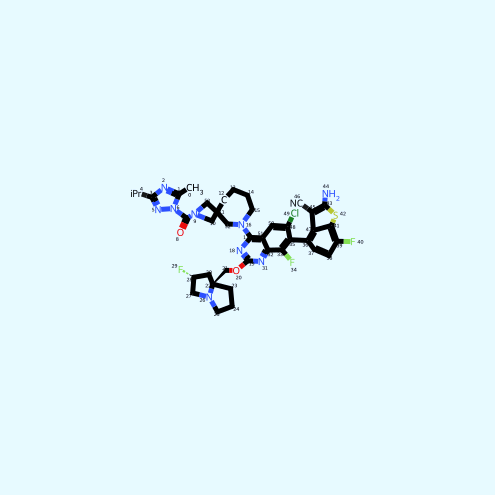 Cc1nc(C(C)C)nn1C(=O)N1CC2(CCCCN(c3nc(OC[C@@]45CCCN4C[C@H](F)C5)nc4c(F)c(-c5ccc(F)c6sc(N)c(C#N)c56)c(Cl)cc34)C2)C1